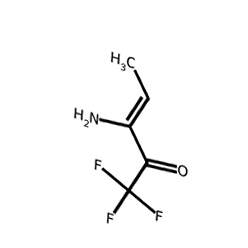 CC=C(N)C(=O)C(F)(F)F